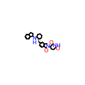 O=C1CCC(N2Cc3cc(C[C@H]4CCCCC4NC4CCc5ccccc54)ccc3C2=O)C(=O)N1